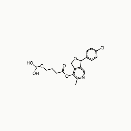 Cc1ncc2c(c1OC(=O)CCCON(O)O)COC2c1ccc(Cl)cc1